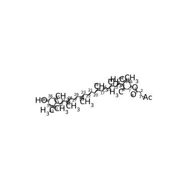 CC(=O)CCC(=O)OC1CC(C)=C(/C=C/C(C)=C/C=C/C(C)=C/C=C/C=C(C)/C=C/C=C(C)/C=C/C2=C(C)CC(O)CC2(C)C)C(C)(C)C1